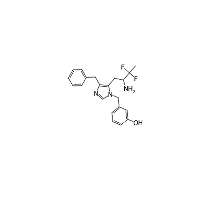 CC(F)(F)C(N)Cc1c(Cc2ccccc2)ncn1Cc1cccc(O)c1